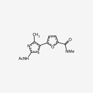 CNC(=O)c1ccc(-c2sc(NC(C)=O)nc2C)o1